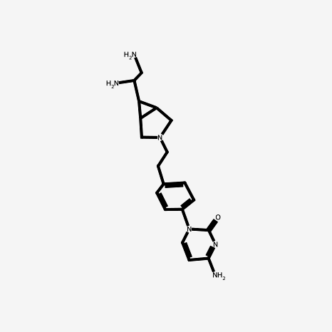 NCC(N)C1C2CN(CCc3ccc(-n4ccc(N)nc4=O)cc3)CC21